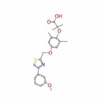 COc1cccc(-c2csc(COc3cc(C)c(OC(C)(C)C(=O)O)c(C)c3)n2)c1